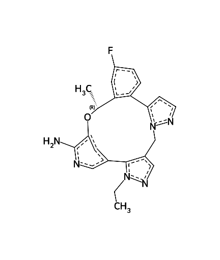 CCn1ncc2c1-c1cnc(N)c(c1)O[C@H](C)c1cc(F)ccc1-c1ccnn1C2